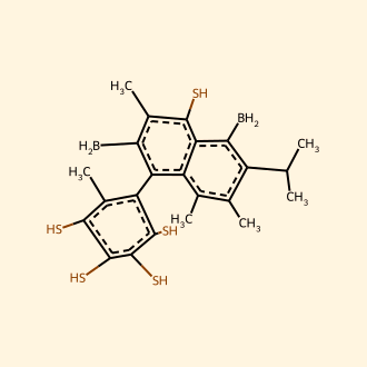 Bc1c(C)c(S)c2c(B)c(C(C)C)c(C)c(C)c2c1-c1c(C)c(S)c(S)c(S)c1S